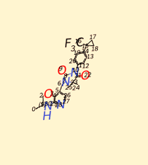 C[C@H]1COc2c(CN3C(=O)N(c4ccc(C5(C(F)(F)F)CC5)cc4)C(=O)C3(C)C)ccnc2N1